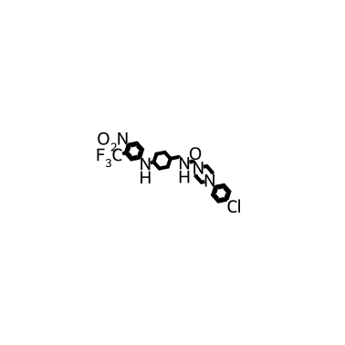 O=C(NCC1CCC(Nc2ccc([N+](=O)[O-])c(C(F)(F)F)c2)CC1)N1CCN(c2ccc(Cl)cc2)CC1